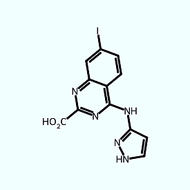 O=C(O)c1nc(Nc2cc[nH]n2)c2ccc(I)cc2n1